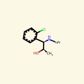 CCCN[C@H](c1ccccc1Cl)[C@@H](C)O